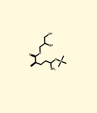 C=C(CCC([SiH3])O[Si](C)(C)C)C(=O)OCC(O)CO